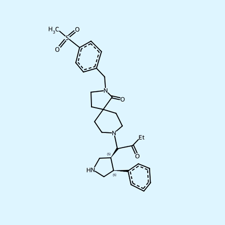 CCC(=O)C([C@@H]1CNC[C@@H]1c1ccccc1)N1CCC2(CCN(Cc3ccc(S(C)(=O)=O)cc3)C2=O)CC1